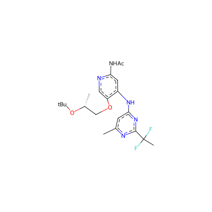 CC(=O)Nc1cc(Nc2cc(C)nc(C(C)(F)F)n2)c(OC[C@@H](C)OC(C)(C)C)cn1